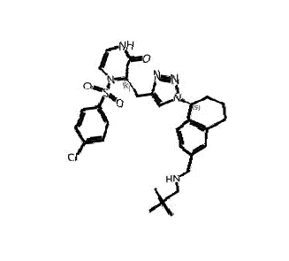 CC(C)(C)CNCc1ccc2c(c1)CCC[C@@H]2n1cc(C[C@@H]2C(=O)NC=CN2S(=O)(=O)c2ccc(Cl)cc2)nn1